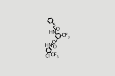 O=C(CSc1ccccc1)Nc1cc(COC(=O)Nc2ccc(Cl)c(C(F)(F)F)c2)cc(C(F)(F)F)c1